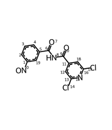 O=Nc1cccc(C(=O)NC(=O)c2cc(Cl)nc(Cl)c2)c1